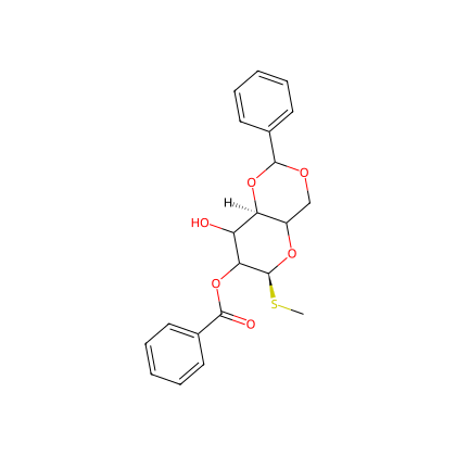 CS[C@@H]1OC2COC(c3ccccc3)O[C@@H]2C(O)C1OC(=O)c1ccccc1